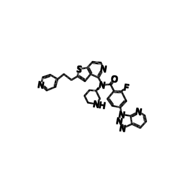 O=C(c1ccc(-n2nnc3cccnc32)cc1F)N(c1nccc2sc(CCc3ccncc3)cc12)[C@@H]1CCCNC1